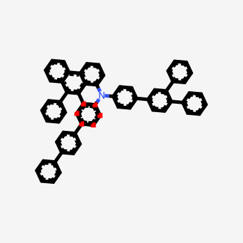 c1ccc(-c2ccc(-c3ccc(N(c4ccc(-c5ccc(-c6ccccc6)c(-c6ccccc6)c5)cc4)c4cccc5c4c(-c4ccccc4)c(-c4ccccc4)c4ccccc45)cc3)cc2)cc1